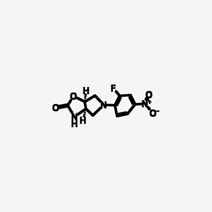 O=C1N[C@@H]2CN(c3ccc([N+](=O)[O-])cc3F)C[C@@H]2O1